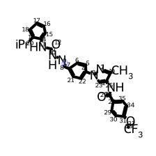 Cc1nn(-c2ccc(/C=N/NC(=O)Nc3ccccc3C(C)C)cc2)cc1NC(=O)c1ccc(OC(F)(F)F)cc1